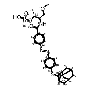 COC[C@@H](NC(=O)c1ccc(/N=N/c2ccc(SC3C4CC5CC(C4)CC3C5)cc2)cc1)[C@@H](C)O[P@](C)(=O)O